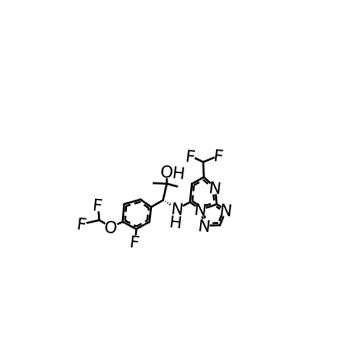 CC(C)(O)[C@H](Nc1cc(C(F)F)nc2ncnn12)c1ccc(OC(F)F)c(F)c1